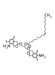 CCCCCCCC/C=C\CCCCCCCC(=O)OC(COC(=O)Cc1c(I)cc(I)c(N)c1I)COC(=O)Cc1c(I)cc(I)c(N)c1I